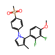 COc1ccc(-c2c(C)ccn2-c2ccc(S(C)(=O)=O)cc2)c(F)c1F